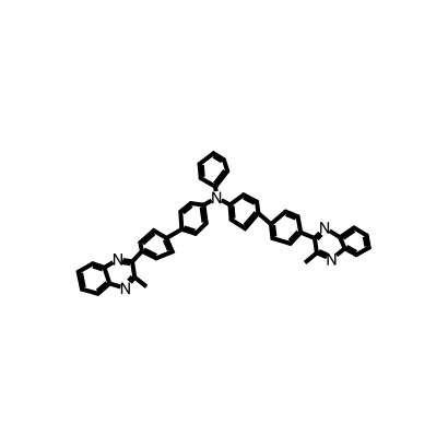 Cc1nc2ccccc2nc1-c1ccc(-c2ccc(N(c3ccccc3)c3ccc(-c4ccc(-c5nc6ccccc6nc5C)cc4)cc3)cc2)cc1